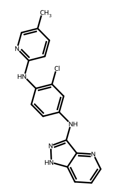 Cc1ccc(Nc2ccc(Nc3n[nH]c4cccnc34)cc2Cl)nc1